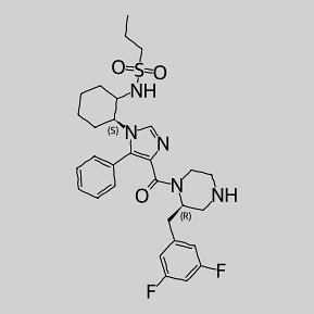 CCCS(=O)(=O)NC1CCCC[C@@H]1n1cnc(C(=O)N2CCNC[C@H]2Cc2cc(F)cc(F)c2)c1-c1ccccc1